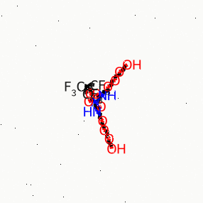 O=C(CN(CC(=O)NCCOCCOCCOCCO)C(=O)COCC(CC(F)(F)F)(CC(F)(F)F)CC(F)(F)F)NCCOCCOCCOCCO